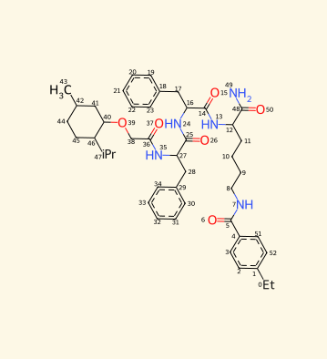 CCc1ccc(C(=O)NCCCCC(NC(=O)C(Cc2ccccc2)NC(=O)C(Cc2ccccc2)NC(=O)COC2CC(C)CCC2C(C)C)C(N)=O)cc1